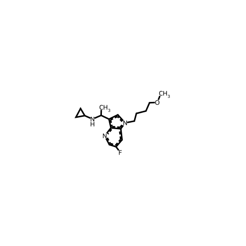 COCCCCn1cc(C(C)NC2CC2)c2ncc(F)cc21